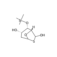 C[Si](C)(C)O[C@H]1[C@@H](O)CC2O[C@H]1C(O)S2